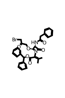 CC(C)=C(C(=O)OC(c1ccccc1)c1ccccc1)N1C(=O)[C@@H](NC(=O)Cc2ccccc2)[C@@H]1OCC(=O)CBr